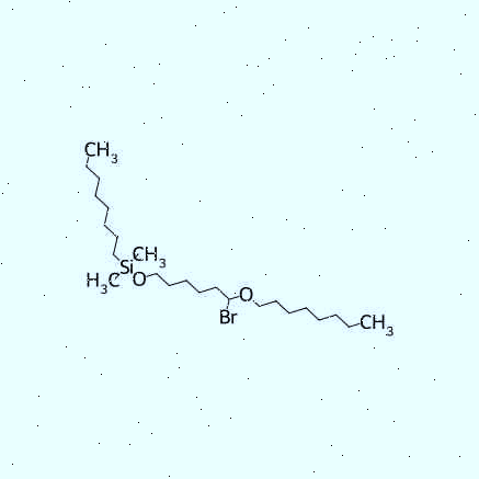 CCCCCCCCOC(Br)CCCCCO[Si](C)(C)CCCCCCCC